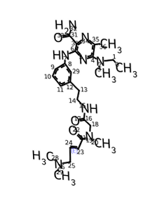 CCN(C)c1nc(Nc2cccc(CCNC(=O)CN(C)C(=O)/C=C/CN(C)C)c2)c(C(N)=O)nc1C